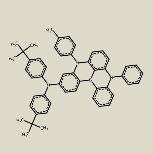 Cc1ccc(N2c3cc(N(c4ccc(C(C)(C)C)cc4)c4ccc(C(C)(C)C)cc4)ccc3B3c4ccccc4N(c4ccccc4)c4cccc2c43)cc1